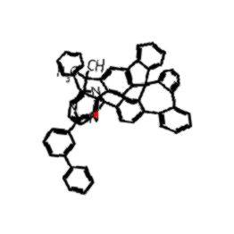 CC1(C)c2ccccc2-c2cc3c(cc21)-c1ccccc1C31c2ccccc2-c2ccccc2-c2ccc(-c3nc(-c4ccccc4)nc(-c4cccc(-c5ccccc5)c4)n3)cc21